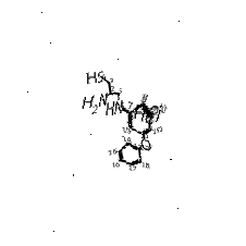 Cl.N[C@@H](CS)CNc1cccc(Oc2ccccc2)c1